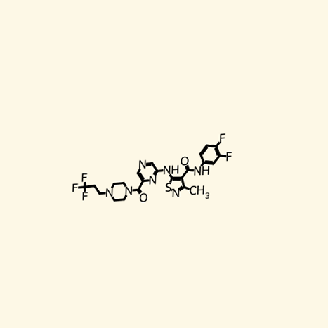 Cc1nsc(Nc2cncc(C(=O)N3CCN(CCC(F)(F)F)CC3)n2)c1C(=O)Nc1ccc(F)c(F)c1